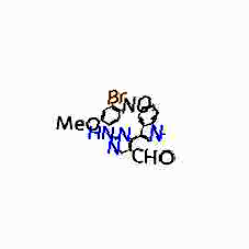 COc1cc(Br)c([N+](=O)[O-])cc1Nc1ncc(C=O)c(-c2cn(C)c3ccccc23)n1